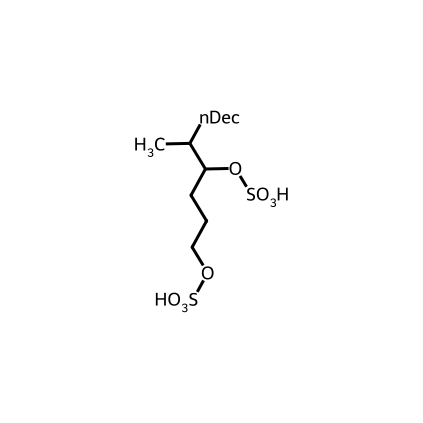 CCCCCCCCCCC(C)C(CCCOS(=O)(=O)O)OS(=O)(=O)O